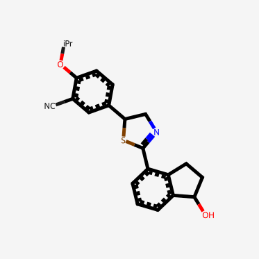 CC(C)Oc1ccc(C2CN=C(c3cccc4c3CCC4O)S2)cc1C#N